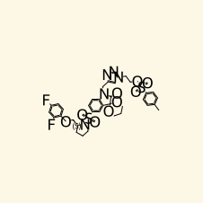 Cc1ccc(S(=O)(=O)OCCn2cc(CN3C(=O)C4(OCCCO4)c4cc(S(=O)(=O)N5CCC[C@H]5COc5ccc(F)cc5F)ccc43)nn2)cc1